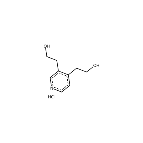 Cl.OCCc1ccncc1CCO